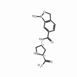 CC(=O)[C@@H]1C[C@@H](NC(=O)c2ccc3c(c2)B(O)OC3)CN1